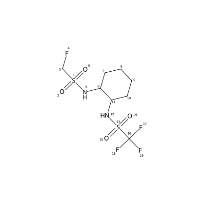 O=S(=O)(CF)NC1CCCCC1NS(=O)(=O)C(F)(F)F